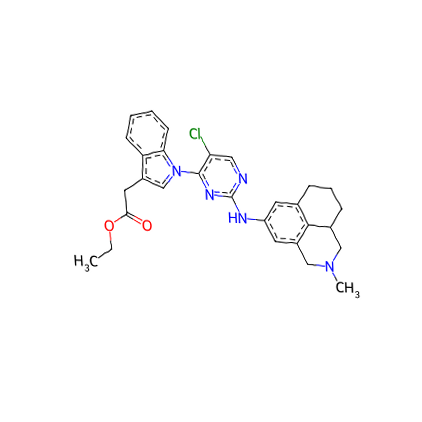 CCOC(=O)Cc1cn(-c2nc(Nc3cc4c5c(c3)CN(C)CC5CCC4)ncc2Cl)c2ccccc12